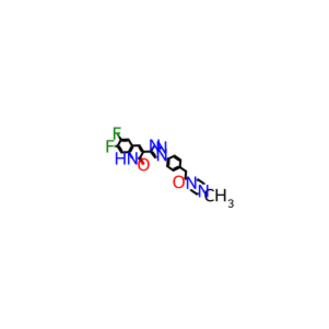 CN1CCN(C(=O)Cc2ccc(-n3cc(-c4cc5cc(F)c(F)cc5[nH]c4=O)nn3)cc2)CC1